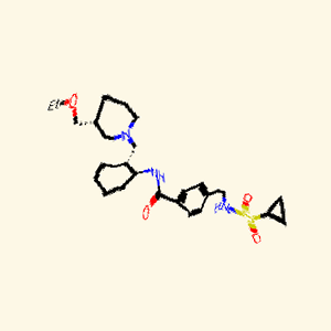 CCOC[C@@H]1CCCN(C[C@H]2CCCC[C@@H]2NC(=O)c2ccc(CNS(=O)(=O)C3CC3)cc2)C1